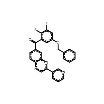 O=C(c1ccc2ncc(-c3cccnc3)nc2c1)c1cc(OCc2ccccc2)cc(F)c1F